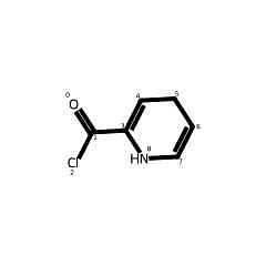 O=C(Cl)C1=CCC=CN1